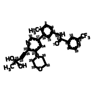 Cc1ccc(NC(=O)c2ccnc(C(F)(F)F)c2)cc1-c1cnc(C#CC(C)(O)O)c(N2CCOCC2)c1